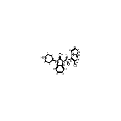 O=c1n(C2CCNCC2)c2ccccc2n1S(=O)(=O)c1c(Cl)nc2sccn12